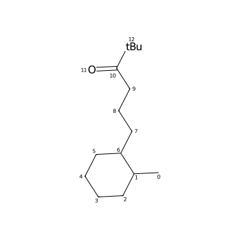 CC1CCCCC1CCCC(=O)C(C)(C)C